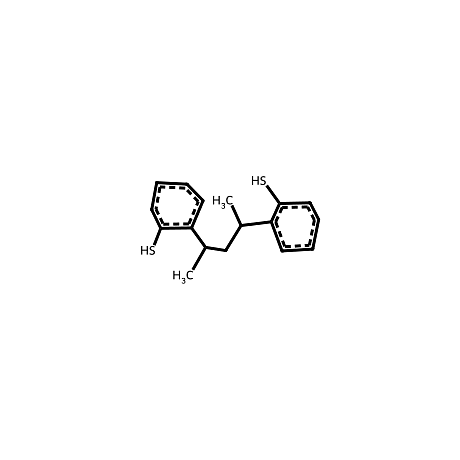 CC(CC(C)c1ccccc1S)c1ccccc1S